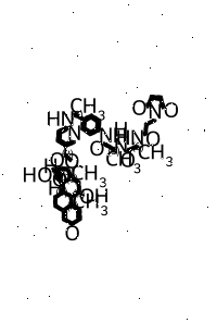 C[C@H](NC(=O)CCN1C(=O)C=CC1=O)C(=O)N[C@@H](C)C(=O)Nc1ccc([C@H](C)Nc2ccc([C@@H]3O[C@@H]4CC5[C@@H]6CCC7=CC(=O)C=C[C@]7(C)C6[C@@H](O)C[C@]5(C)[C@]4(C(=O)CO)O3)cn2)cc1